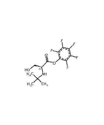 CC(C)(C)N[C@@H](CO)C(=O)Oc1c(F)c(F)c(F)c(F)c1F